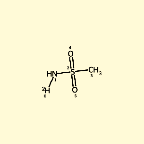 [2H]NS(C)(=O)=O